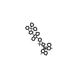 Cc1ccc(N(c2ccc3c(c2)C(C)(C)c2cc(-c4c5ccccc5c(-c5ccc6c(c5)C(c5ccccc5)(c5ccccc5)c5ccccc5-6)c5ccccc45)ccc2-3)c2ccc(C)c3ccccc23)c2ccccc12